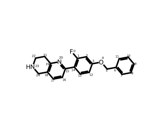 Fc1cc(OCc2ccccc2)ccc1-c1ccc2c(n1)CCNC2